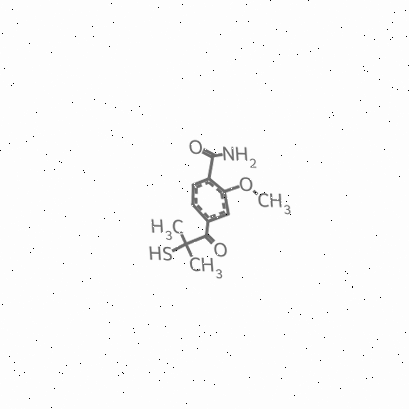 COc1cc(C(=O)C(C)(C)S)ccc1C(N)=O